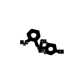 Cc1c[c]ccc1C[Si](C)(C)c1ccc(C#N)cc1